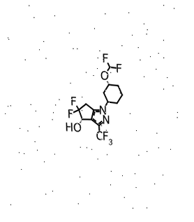 O[C@H]1c2c(C(F)(F)F)nn(C3CCC[C@@H](OC(F)F)C3)c2CC1(F)F